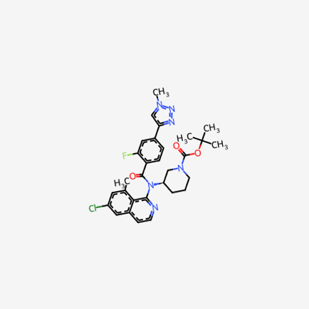 Cc1cc(Cl)cc2ccnc(N(C(=O)c3ccc(-c4cn(C)nn4)cc3F)[C@@H]3CCCN(C(=O)OC(C)(C)C)C3)c12